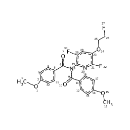 COc1ccc(C(=O)N(C(=O)c2ccc(OC)cc2)c2nc(F)c(OCCF)cc2F)cc1